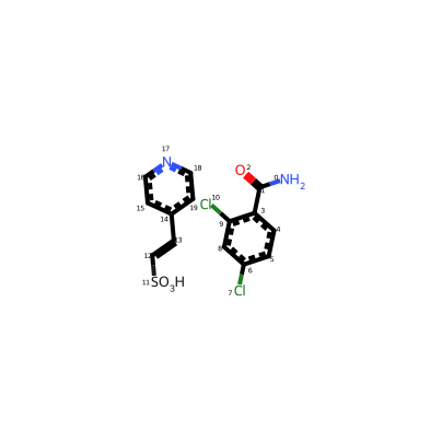 NC(=O)c1ccc(Cl)cc1Cl.O=S(=O)(O)/C=C/c1ccncc1